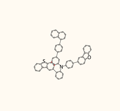 c1cc(-c2ccc(-c3cccc4ccccc34)cc2)cc(N(c2ccc(-c3ccc4oc5ccccc5c4c3)cc2)c2ccccc2-c2ccc3sc4ccccc4c3c2)c1